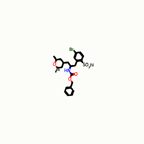 CC1CC(CC(Cc2cc(Br)ccc2S(=O)(=O)O)NC(=O)OCc2ccccc2)C[C@@H](C)O1